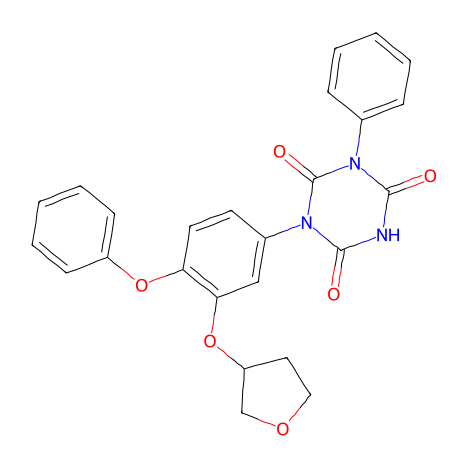 O=c1[nH]c(=O)n(-c2ccc(Oc3ccccc3)c(OC3CCOC3)c2)c(=O)n1-c1ccccc1